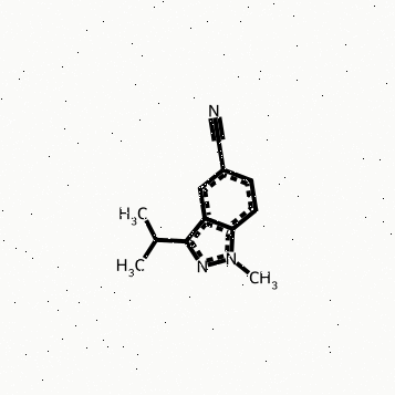 CC(C)c1nn(C)c2ccc(C#N)cc12